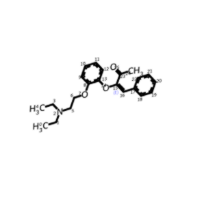 CCN(CC)CCOc1ccccc1O/C(=C/c1ccccc1)C(C)=O